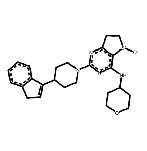 [O-][S+]1CCc2nc(N3CCC(C4=CCc5ccccc54)CC3)nc(NC3CCOCC3)c21